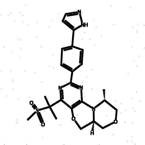 C[C@@H]1COC[C@H]2COc3c(nc(-c4ccc(-c5ccn[nH]5)cc4)nc3C(C)(C)S(C)(=O)=O)N21